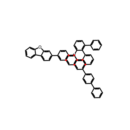 c1ccc(-c2ccc(-c3ccc(N(c4ccc(-c5ccc6c(c5)oc5ccccc56)cc4)c4cccc(-c5ccccc5)c4-c4ccccc4-c4ccccc4)cc3)cc2)cc1